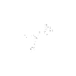 COc1cc(CCNC(=O)[C@@H](NS(C)(=O)=O)C(C)C)ccc1OCC=Cc1ccccc1